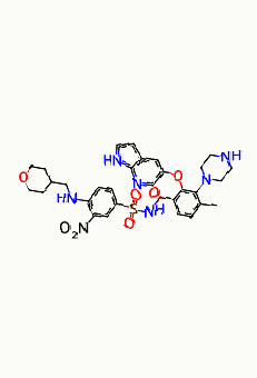 Cc1ccc(C(=O)NS(=O)(=O)c2ccc(NCC3CCOCC3)c([N+](=O)[O-])c2)c(Oc2cnc3[nH]ccc3c2)c1N1CCNCC1